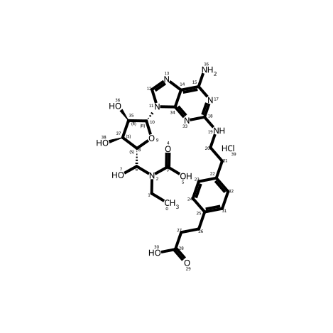 CCN(C(=O)O)C(O)[C@H]1O[C@@H](n2cnc3c(N)nc(NCCc4ccc(CCC(=O)O)cc4)nc32)[C@H](O)[C@@H]1O.Cl